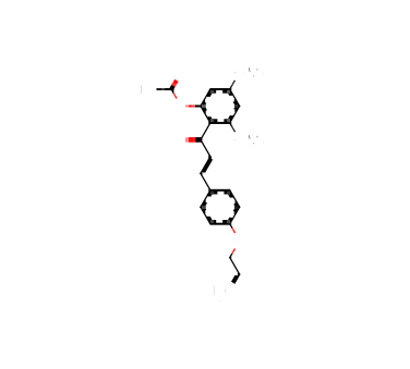 C=CCOc1ccc(C=CC(=O)c2c(OC)cc(OC)cc2OC(=O)CC)cc1